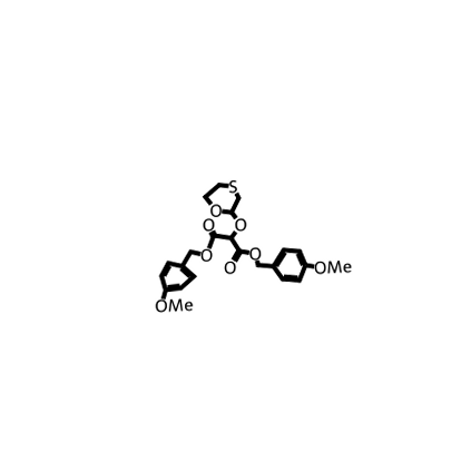 COc1ccc(COC(=O)C(OC2CSCCO2)C(=O)OCc2ccc(OC)cc2)cc1